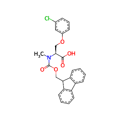 CN(C(=O)OCC1c2ccccc2-c2ccccc21)[C@@H](COc1cccc(Cl)c1)C(=O)O